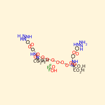 N=C(N)Nc1ccc(C(=O)Oc2ccc(CNS(=O)(=O)N(CCOCCOCCOCCOCCOCCOCCN([C@@H](CC(=O)O)C(=O)O)S(=O)(=O)NCc3ccc(OC(=O)c4ccc(NC(=N)N)cc4)cc3)[C@@H](CC(=O)O)C(=O)O)cc2)cc1.O=C(O)C(F)(F)F